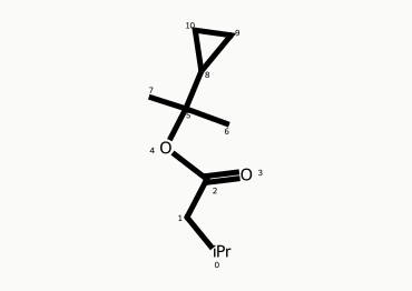 CC(C)CC(=O)OC(C)(C)C1CC1